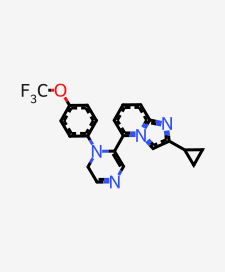 FC(F)(F)Oc1ccc(N2CC=NC=C2c2cccc3nc(C4CC4)cn23)cc1